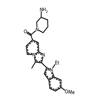 CCn1c(-c2nc3cc(C(=O)N4CCCC(N)C4)ccn3c2C)cc2ccc(OC)cc21